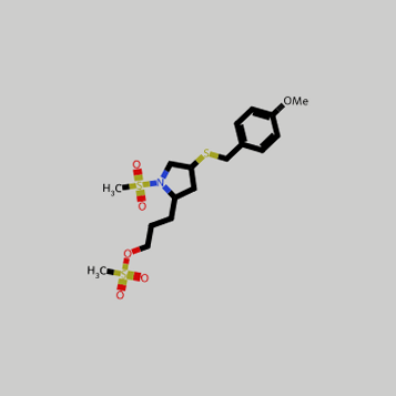 COc1ccc(CSC2CC(CCCOS(C)(=O)=O)N(S(C)(=O)=O)C2)cc1